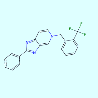 FC(F)(F)c1ccccc1Cn1ccc2nc(-c3ccccc3)nc-2c1